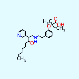 CCCCCCC(=O)C(CNCCc1cccc(OC(C)(CC)C(=O)O)c1)c1cccnc1